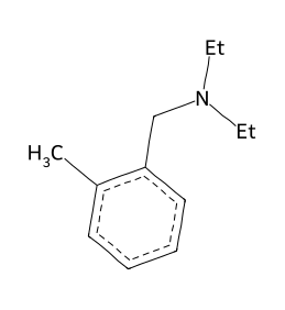 CCN(CC)Cc1ccccc1C